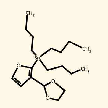 CCC[CH2][Sn]([CH2]CCC)([CH2]CCC)[c]1occc1C1OCCO1